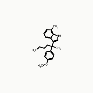 CCCCC(C)(c1ccc(OC)cc1)c1c[nH]c2c(C)cccc12